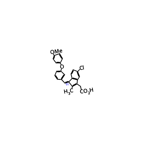 COc1ccc(Oc2cccc(/C=C3/C(C)=C(CC(=O)O)c4cc(Cl)ccc43)c2)cc1